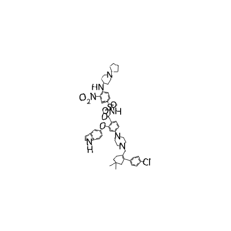 CC1(C)CCC(CN2CCN(c3ccc(C(=O)NS(=O)(=O)c4ccc(NC5CCN(C6CCCC6)CC5)c([N+](=O)[O-])c4)c(Oc4ccc5[nH]ccc5c4)c3)CC2)=C(c2ccc(Cl)cc2)C1